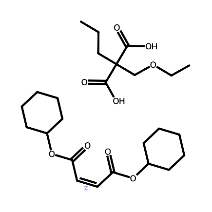 CCCC(COCC)(C(=O)O)C(=O)O.O=C(/C=C\C(=O)OC1CCCCC1)OC1CCCCC1